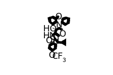 O=S(=NCC1CC1)(NC1=COC[C@H](N2c3ccccc3Oc3ccccc32)[C@H]1O)c1ccc(OC(F)(F)F)cc1